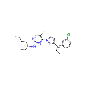 CCCCC(CC)Nc1ncc(C)c(-n2ccc([C@H](CC)c3cccc(Cl)c3)c2)n1